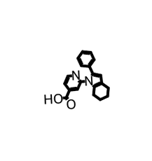 O=C(O)c1ccnc(-n2c(-c3ccccc3)cc3c2CCCC3)c1